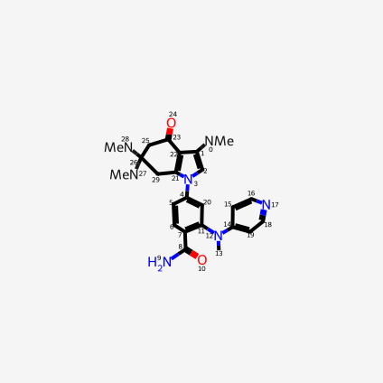 CNc1cn(-c2ccc(C(N)=O)c(N(C)c3ccncc3)c2)c2c1C(=O)CC(NC)(NC)C2